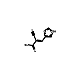 N#C/C(=C\c1c[nH]cn1)C(=O)O